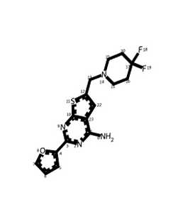 Nc1nc(-c2ccco2)nc2sc(CN3CCC(F)(F)CC3)cc12